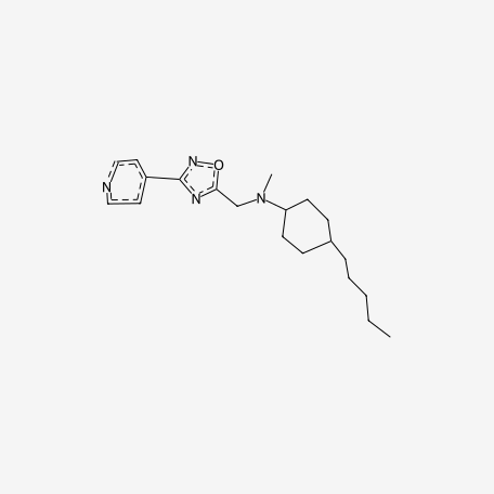 CCCCCC1CCC(N(C)Cc2nc(-c3ccncc3)no2)CC1